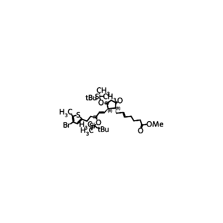 COC(=O)CCCC=CC[C@H]1C(=O)C[C@@H](O[Si](C)(C)C(C)(C)C)[C@@H]1C=C[C@H](CCc1cc(Br)c(C)s1)O[Si](C)(C)C(C)(C)C